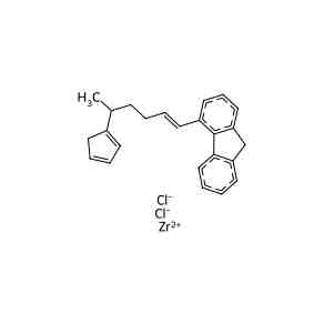 CC(CCC=Cc1cccc2c1-c1ccccc1C2)C1=CC=CC1.[Cl-].[Cl-].[Zr+2]